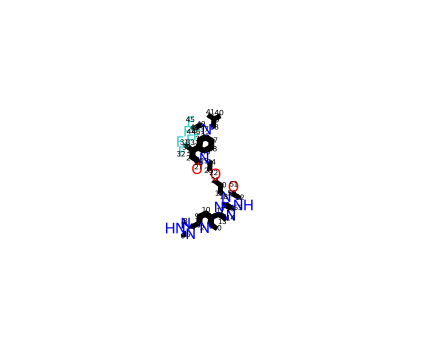 Cc1nc(-c2nc[nH]n2)ccc1-c1cnc2c(n1)N(CCCOCCn1c(=O)cc(C(F)(F)F)c3cc(N(CC(C)C)CC(F)(F)F)ccc31)C(=O)CN2